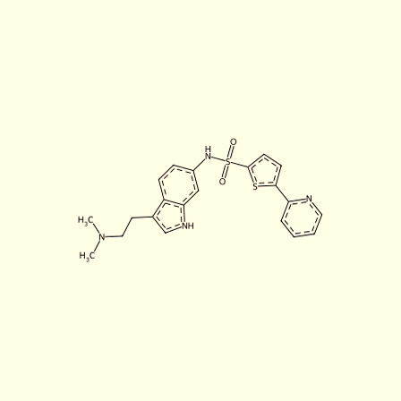 CN(C)CCc1c[nH]c2cc(NS(=O)(=O)c3ccc(-c4ccccn4)s3)ccc12